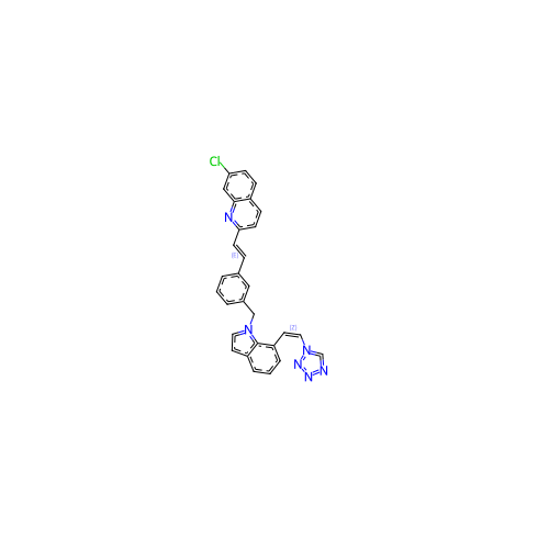 Clc1ccc2ccc(/C=C/c3cccc(Cn4ccc5cccc(/C=C\n6cnnn6)c54)c3)nc2c1